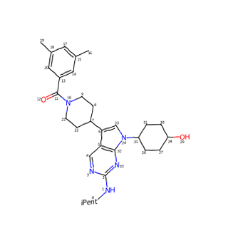 CCCC(C)Nc1ncc2c(C3CCN(C(=O)c4cc(C)cc(C)c4)CC3)cn(C3CCC(O)CC3)c2n1